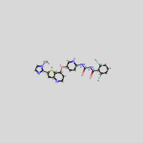 Cn1ccnc1-c1cc2nccc(Oc3ccc(NC(=O)NC(=O)c4c(F)cccc4F)nc3)c2s1